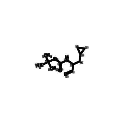 CC(C)(C)OC(=O)NC(C=O)CC1CC1